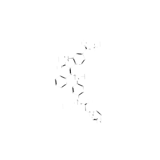 COC(=O)c1ccc2c(c1)NC(=O)C2=C(Nc1ccc(N(C)C(=O)Cn2ccnc2)cc1)c1ccccc1